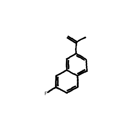 C=C(C)c1ccc2ccc(F)cc2c1